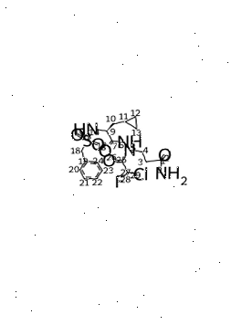 NC(=O)CCN(NC(=O)[C@H](CC1CC1)NS(=O)(=O)Cc1ccccc1)C(=O)C(F)Cl